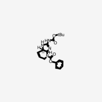 CC(C)(C)OC(=O)NC1=N[C@H]2[C@H](C=CCN2C(=O)Oc2ccccc2)N1